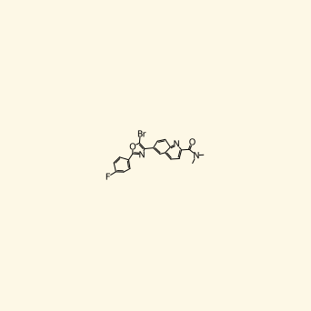 CN(C)C(=O)c1ccc2cc(-c3nc(-c4ccc(F)cc4)oc3Br)ccc2n1